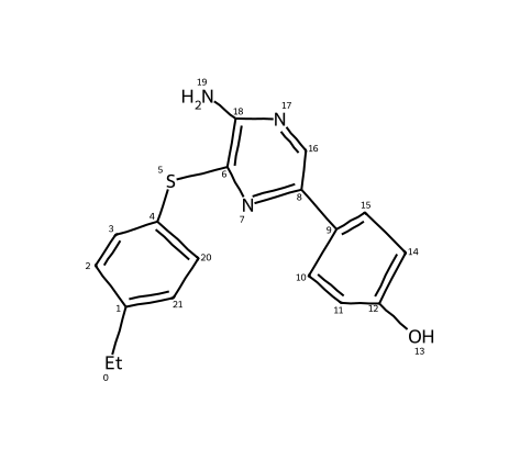 CCc1ccc(Sc2nc(-c3ccc(O)cc3)cnc2N)cc1